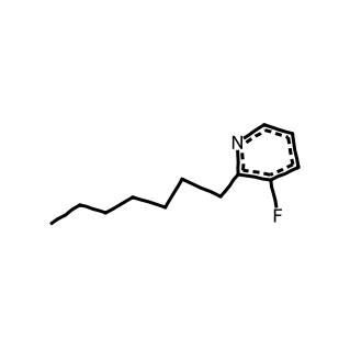 CCCCCCCc1ncccc1F